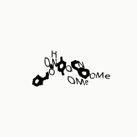 COc1cc2nccc(Oc3cc(C)c(NC(=O)OCCc4ccccc4)cc3C)c2cc1OC